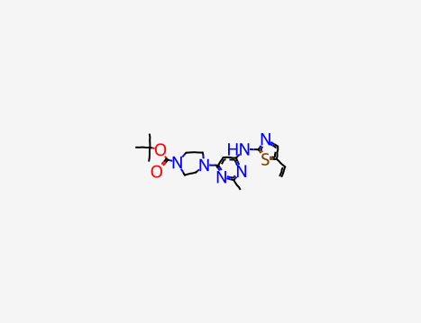 C=Cc1cnc(Nc2cc(N3CCN(C(=O)OC(C)(C)C)CC3)nc(C)n2)s1